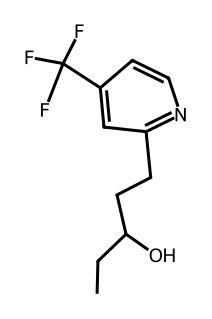 CCC(O)CCc1cc(C(F)(F)F)ccn1